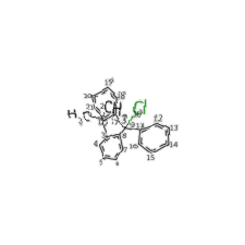 CC(C)c1ccccc1C(Cl)(c1ccccc1)c1ccccc1